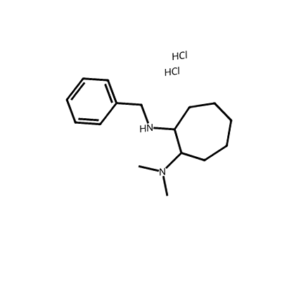 CN(C)C1CCCCCC1NCc1ccccc1.Cl.Cl